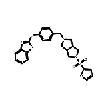 O=S(=O)(c1ccco1)N1CC2CN(Cc3ccc(Oc4nc5ccccc5s4)cc3)CC2C1